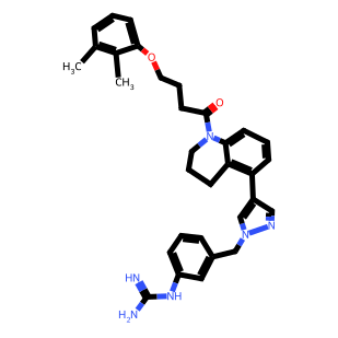 Cc1cccc(OCCCC(=O)N2CCCc3c(-c4cnn(Cc5cccc(NC(=N)N)c5)c4)cccc32)c1C